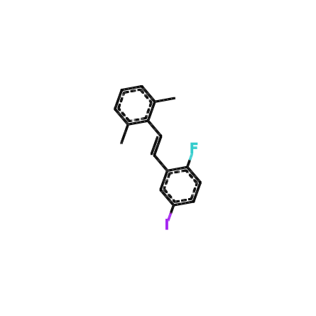 Cc1cccc(C)c1/C=C/c1cc(I)ccc1F